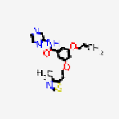 C=CCOc1cc(OCCc2scnc2C)cc(C(=O)Nc2cnccn2)c1